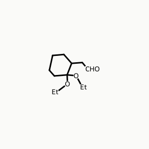 CCOC1(OCC)CCCCC1CC=O